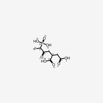 O=C(O)CC(CC(=O)C(F)P(=O)(O)O)C(=O)O